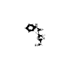 CCSc1nsc(OC(=O)Nc2ccccc2)n1